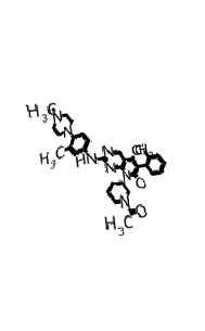 CC(=O)N1CCC[C@H](n2c(=O)c(-c3ccccc3Cl)c(C)c3cnc(Nc4ccc(N5CCN(C)CC5)c(C)c4)nc32)C1